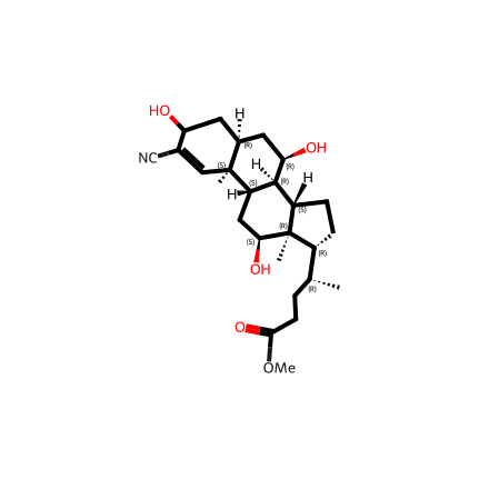 COC(=O)CC[C@@H](C)[C@H]1CC[C@H]2[C@@H]3[C@H](O)C[C@@H]4CC(O)C(C#N)=C[C@]4(C)[C@H]3C[C@H](O)[C@]12C